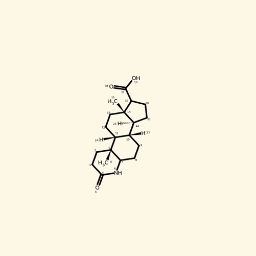 C[C@]12CCC(=O)NC1CC[C@@H]1[C@H]2CC[C@]2(C)C(C(=O)O)CC[C@@H]12